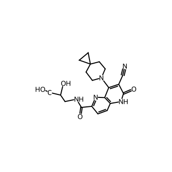 N#Cc1c(N2CCC3(CC2)CC3)c2nc(C(=O)NCC(O)CO)ccc2[nH]c1=O